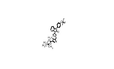 Cn1c(C(=O)OC(C)(C)C)cnc1CN1CCC(n2c(=O)n(-c3ccc(OC(F)(F)F)cc3)c3cccnc32)C1